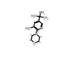 Cc1cc(C(C)(C)N)cnc1N1CCOCC1